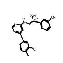 Cc1ccc(-c2cc(NC[C@H](N)c3cccc(C#N)c3)ncn2)cc1Cl